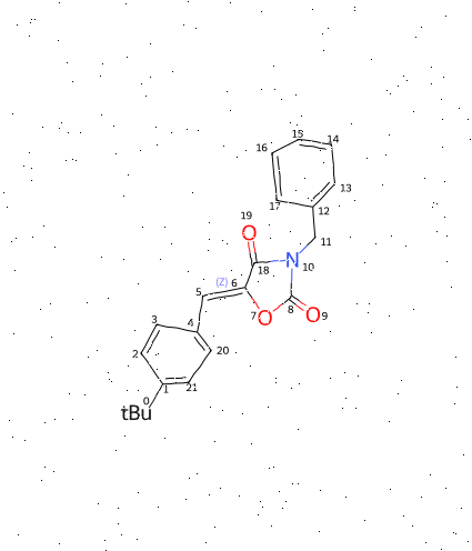 CC(C)(C)c1ccc(/C=C2\OC(=O)N(Cc3ccccc3)C2=O)cc1